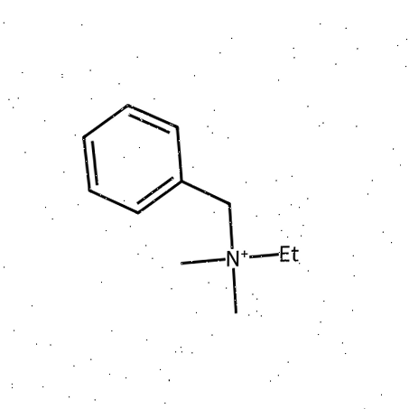 CC[N+](C)(C)Cc1ccccc1